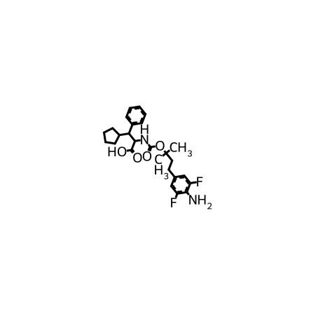 CC(C)(CCc1cc(F)c(N)c(F)c1)OC(=O)NC(C(=O)O)C(c1ccccc1)C1CCCC1